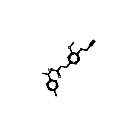 C#CCOc1ccc(CCC(=O)NC(C)c2ccc(C)cc2)cc1OC